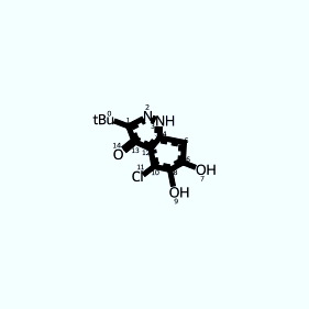 CC(C)(C)c1n[nH]c2cc(O)c(O)c(Cl)c2c1=O